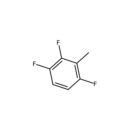 Cc1c(F)ccc(F)c1F